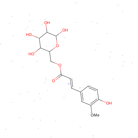 COc1cc(/C=C/C(=O)OCC2OC(O)C(O)C(O)C2O)ccc1O